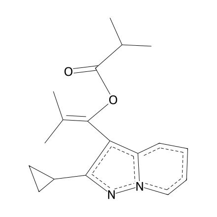 CC(C)=C(OC(=O)C(C)C)c1c(C2CC2)nn2ccccc12